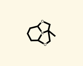 CC12COC3CCCC(OC1)N32